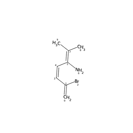 C=C(Br)/C=C\C(N)=C(C)C